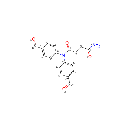 NC(=O)CCC(=O)N(c1ccc(C=O)cc1)c1ccc(C=O)cc1